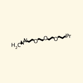 C=[N+]=NCCOCCOCCOCCC(C)C